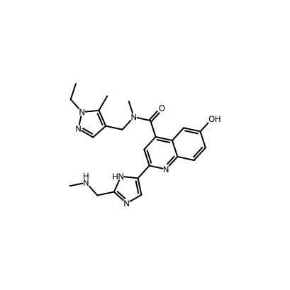 CCn1ncc(CN(C)C(=O)c2cc(-c3cnc(CNC)[nH]3)nc3ccc(O)cc23)c1C